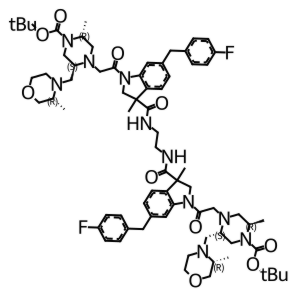 C[C@@H]1COCCN1C[C@H]1CN(C(=O)OC(C)(C)C)[C@H](C)CN1CC(=O)N1CC(C)(C(=O)NCCNC(=O)C2(C)CN(C(=O)CN3C[C@@H](C)N(C(=O)OC(C)(C)C)C[C@@H]3CN3CCOC[C@H]3C)c3cc(Cc4ccc(F)cc4)ccc32)c2ccc(Cc3ccc(F)cc3)cc21